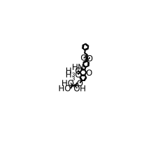 CC1(C)c2cc(OC[C@@H](O)[C@H](O)CO)ccc2C(=O)c2c1[nH]c1cc(S(=O)(=O)CCc3ccccc3)ccc21